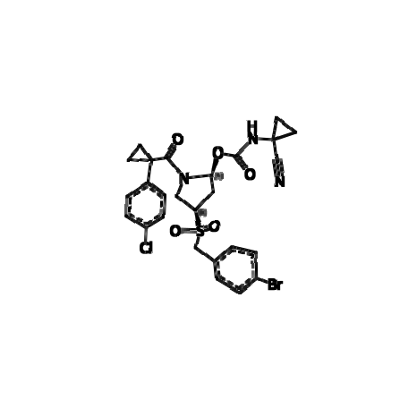 N#CC1(NC(=O)O[C@H]2C[C@@H](S(=O)(=O)Cc3ccc(Br)cc3)CN2C(=O)C2(c3ccc(Cl)cc3)CC2)CC1